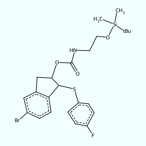 CC(C)(C)[Si](C)(C)OCCNC(=O)OC1Cc2cc(Br)ccc2C1Sc1ccc(F)cc1